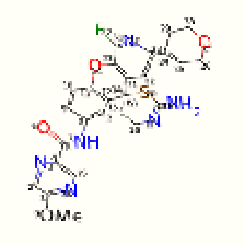 COc1cnc(C(=O)Nc2ccc3c(c2)[C@@]2(CCN=C(N)S2)c2cc(C4=CCOCC4)nc(F)c2O3)cn1